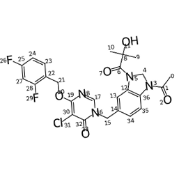 CC(=O)N1CN(C(=O)C(C)(C)O)c2cc(Cn3cnc(OCc4ccc(F)cc4F)c(Cl)c3=O)ccc21